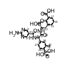 Nc1ncc(C(=O)N[C@@H](C(=O)N[C@H]2Cc3cccc(C(=O)O)c3OB2O)c2ccc(P(=O)(O)O)c(F)c2)cn1